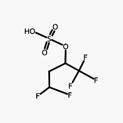 O=S(=O)(O)OC(CC(F)F)C(F)(F)F